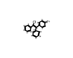 Fc1ccc(/C(=C(\Cl)c2ccccc2)c2ccccc2)cc1